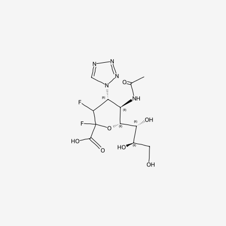 CC(=O)N[C@H]1[C@H]([C@H](O)[C@H](O)CO)OC(F)(C(=O)O)C(F)[C@@H]1n1cnnn1